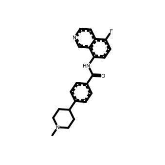 CN1CCC(c2ccc(C(=O)Nc3ccc(F)c4ccncc34)cc2)CC1